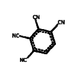 N#Cc1ccc(C#N)c(C#N)c1C#N